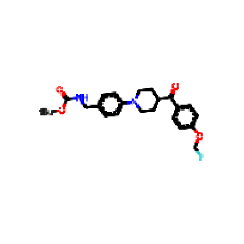 CC(C)(C)OC(=O)NCc1ccc(N2CCC(C(=O)c3ccc(OCF)cc3)CC2)cc1